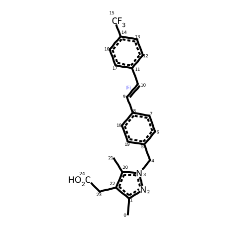 Cc1nn(Cc2ccc(/C=C/c3ccc(C(F)(F)F)cc3)cc2)c(C)c1CC(=O)O